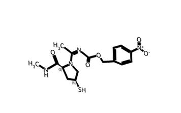 CNC(=O)[C@@H]1C[C@H](S)CN1C(C)=NC(=O)OCc1ccc([N+](=O)[O-])cc1